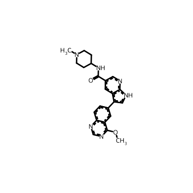 COc1ncnc2ccc(-c3c[nH]c4ncc(C(=O)NC5CCN(C)CC5)cc34)cc12